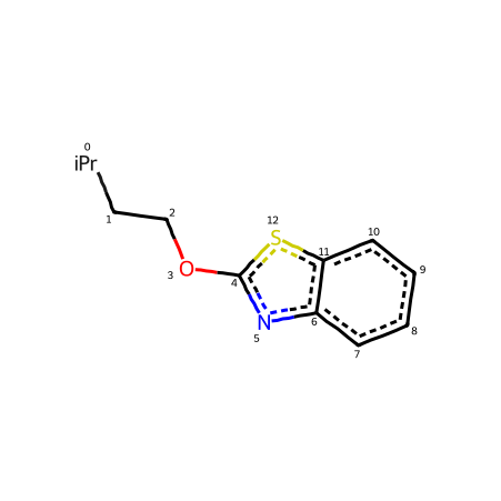 CC(C)CCOc1nc2ccccc2s1